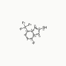 Fc1ccc(C(F)(F)F)c2nc(S)sc12